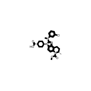 COC(=O)N1c2ccc3c(nc(N(C)c4cccc(Cl)c4)n3[C@H]3CC[C@H](C(=O)O)CC3)c2CC[C@@H]1C